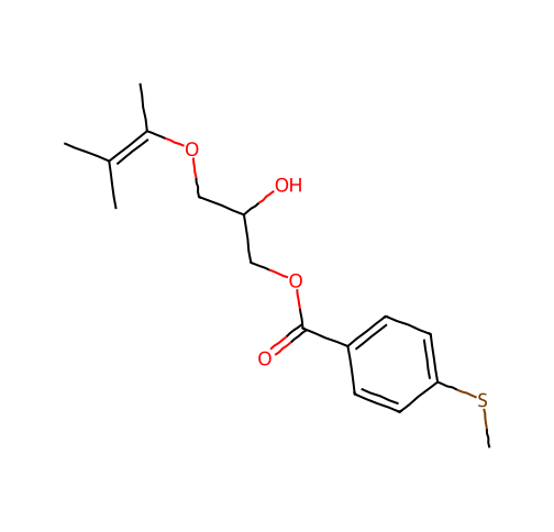 CSc1ccc(C(=O)OCC(O)COC(C)=C(C)C)cc1